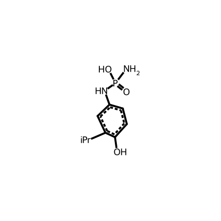 CC(C)c1cc(NP(N)(=O)O)ccc1O